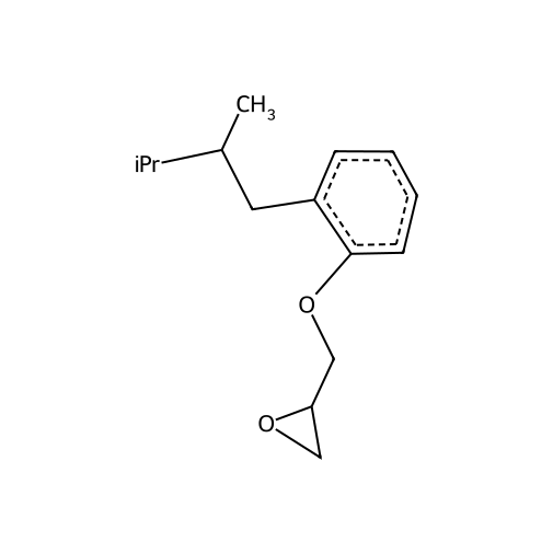 CC(C)C(C)Cc1ccccc1OCC1CO1